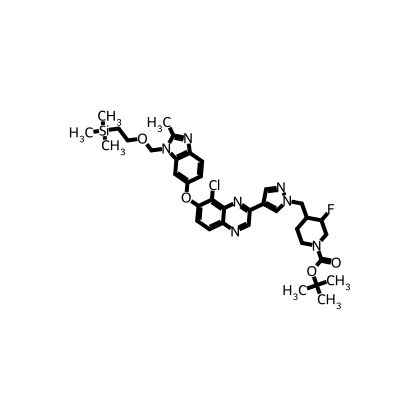 Cc1nc2ccc(Oc3ccc4ncc(-c5cnn(CC6CCN(C(=O)OC(C)(C)C)CC6F)c5)nc4c3Cl)cc2n1COCC[Si](C)(C)C